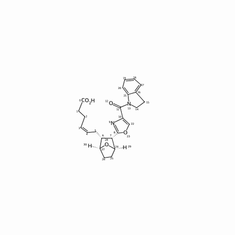 O=C(O)CC/C=C\C[C@@H]1[C@H](c2nc(C(=O)N3CCc4ccccc43)co2)[C@H]2CC[C@@H]1O2